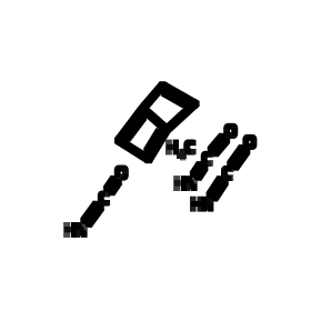 C.N=C=O.N=C=O.N=C=O.c1cc2ccc1-2